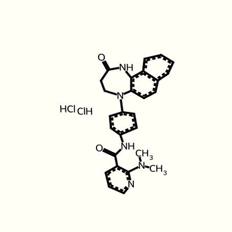 CN(C)c1ncccc1C(=O)Nc1ccc(N2CCC(=O)Nc3c2ccc2ccccc32)cc1.Cl.Cl